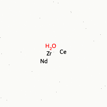 O.[Ce].[Nd].[Zr]